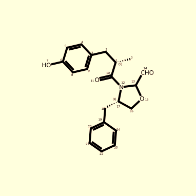 C[C@@H](Cc1ccc(O)cc1)C(=O)N1C(C=O)OC[C@@H]1Cc1ccccc1